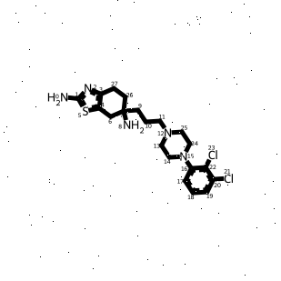 Nc1nc2c(s1)CC(N)(CCCN1CCN(c3cccc(Cl)c3Cl)CC1)CC2